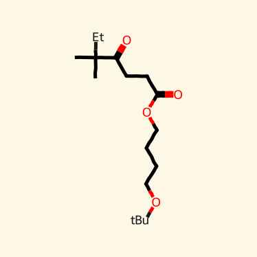 CCC(C)(C)C(=O)CCC(=O)OCCCCOC(C)(C)C